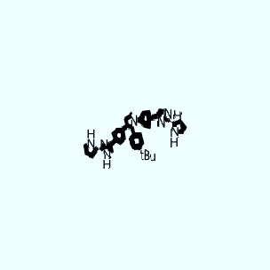 CC(C)(C)c1ccc(C2C(c3ccc(-c4c[nH]c([C@@H]5CCCN5)n4)cc3)CCN2c2ccc(-c3c[nH]c([C@@H]4CCCN4)n3)cc2)cc1